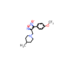 CC1CCN(Cc2no[n+]([O-])c2-c2ccc(OC(F)(F)F)cc2)CC1